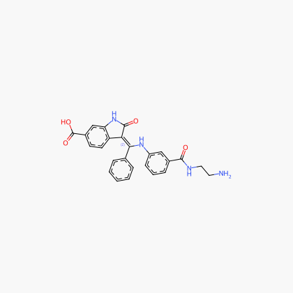 NCCNC(=O)c1cccc(N/C(=C2\C(=O)Nc3cc(C(=O)O)ccc32)c2ccccc2)c1